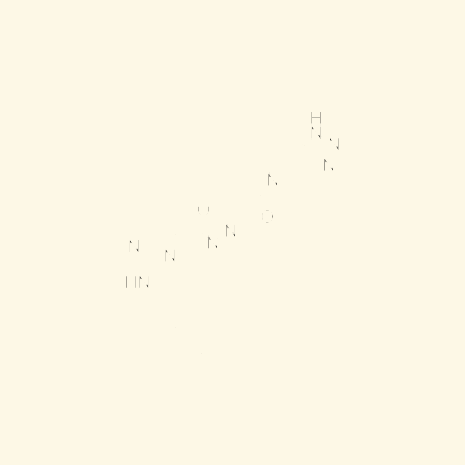 O=C(Cc1nnc(-c2ccnc(NC3Cc4ccccc4C3)n2)o1)N1CCc2[nH]nnc2C1